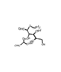 NOC(C=O)C(O)C(O)C(O)CO.O=CC(O)C=O